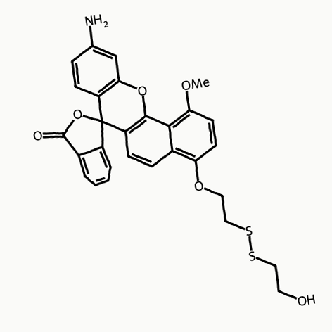 COc1ccc(OCCSSCCO)c2ccc3c(c12)Oc1cc(N)ccc1C31OC(=O)c2ccccc21